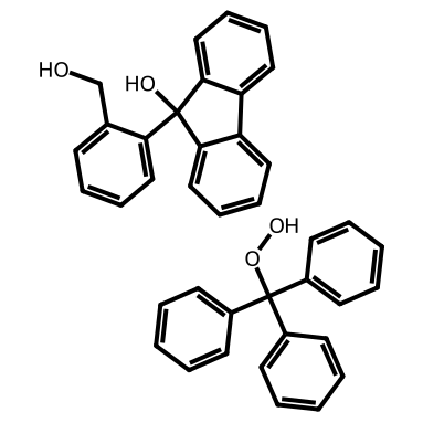 OCc1ccccc1C1(O)c2ccccc2-c2ccccc21.OOC(c1ccccc1)(c1ccccc1)c1ccccc1